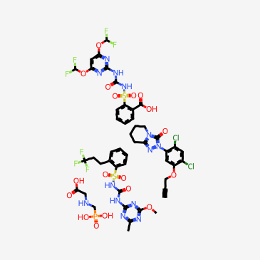 C#CCOc1cc(-n2nc3n(c2=O)CCCC3)c(Cl)cc1Cl.COc1nc(C)nc(NC(=O)NS(=O)(=O)c2ccccc2CCC(F)(F)F)n1.O=C(Nc1nc(OC(F)F)cc(OC(F)F)n1)NS(=O)(=O)c1ccccc1C(=O)O.O=C(O)CNCP(=O)(O)O